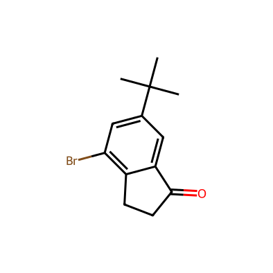 CC(C)(C)c1cc(Br)c2c(c1)C(=O)CC2